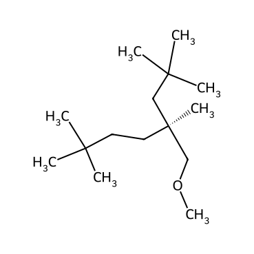 COC[C@@](C)(CCC(C)(C)C)CC(C)(C)C